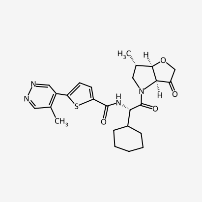 Cc1cnncc1-c1ccc(C(=O)N[C@H](C(=O)N2C[C@H](C)[C@H]3OCC(=O)[C@H]32)C2CCCCC2)s1